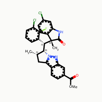 COC(=O)c1ccc2c3n(nc2c1)[C@@H]([C@H](c1cccc(Cl)c1F)[C@@]1(C)C(=O)Nc2cc(Cl)ccc21)[C@@H](C)C3